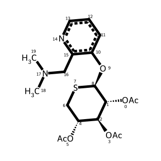 CC(=O)O[C@@H]1[C@@H](OC(C)=O)[C@H](OC(C)=O)CS[C@H]1Oc1cccnc1CN(C)C